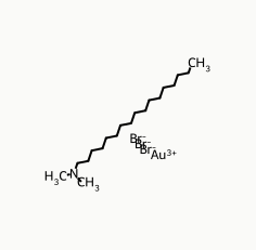 CCCCCCCCCCCCCCCCCN(C)C.[Au+3].[Br-].[Br-].[Br-]